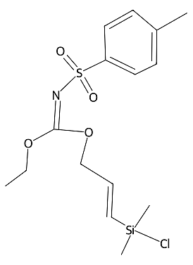 CCOC(=NS(=O)(=O)c1ccc(C)cc1)OCC=C[Si](C)(C)Cl